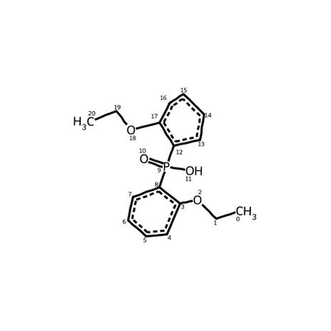 CCOc1ccccc1P(=O)(O)c1ccccc1OCC